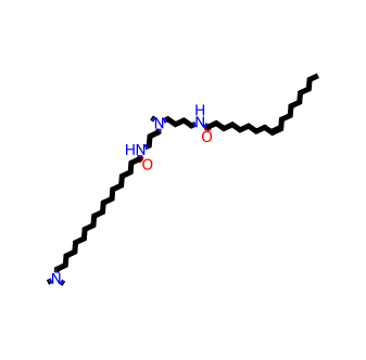 CCCCCCCC/C=C\CCCCCCCC(=O)NCCCCN(C)CCCNC(=O)CCCCCCCCCCCCCCCCCN(C)C